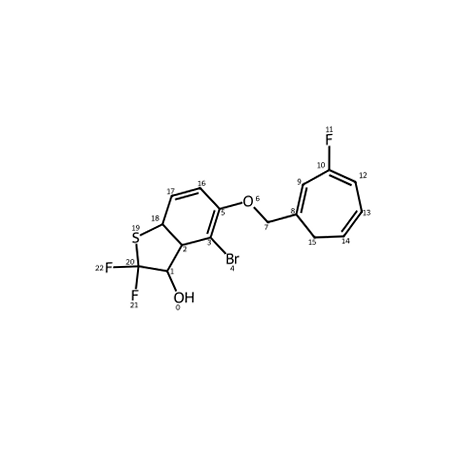 OC1C2C(Br)=C(OCC3=CC(F)=CC=CC3)C=CC2SC1(F)F